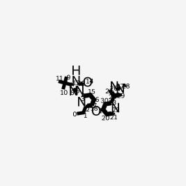 CCc1nc(-n2nc(C(C)(C)C)[nH]c2=O)ccc1Oc1ccnc(-c2cnn(C)c2)c1